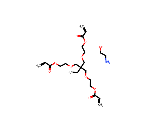 C=CC(=O)OCCOCC(CC)(COCCOC(=O)C=C)COCCOC(=O)C=C.NCCO